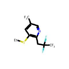 CCSc1cc(C(F)(F)F)cnc1[CH]C(F)(F)C(F)(F)F